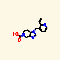 C=Cc1ncccc1Cn1cnc2c1CCN(C(=O)O)C2